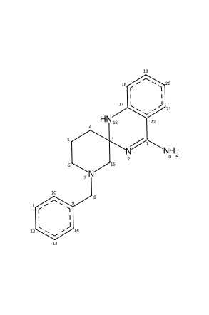 NC1=NC2(CCCN(Cc3ccccc3)C2)Nc2ccccc21